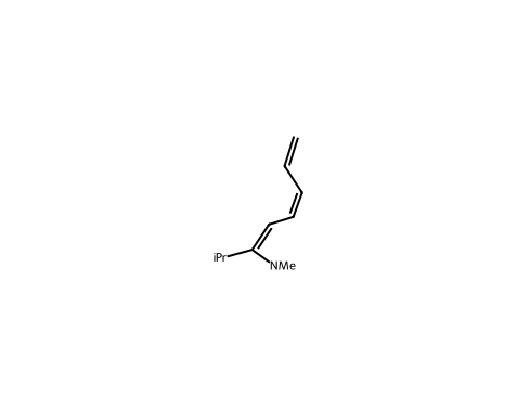 C=C/C=C\C=C(/NC)C(C)C